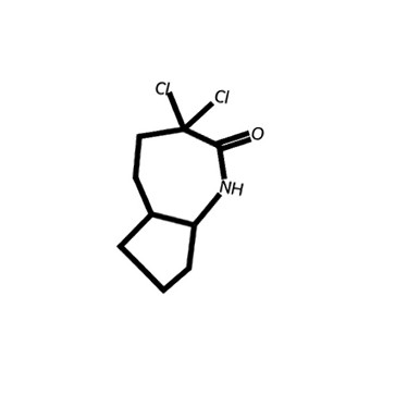 O=C1NC2CCCC2CCC1(Cl)Cl